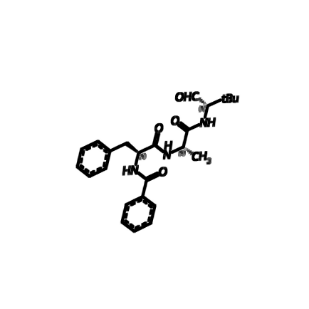 C[C@H](NC(=O)[C@H](Cc1ccccc1)NC(=O)c1ccccc1)C(=O)N[C@H](C=O)C(C)(C)C